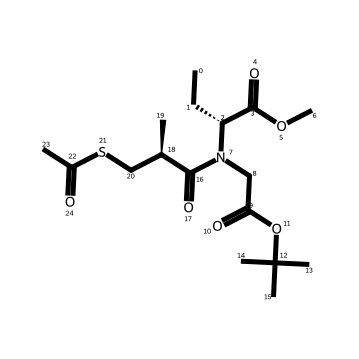 CC[C@H](C(=O)OC)N(CC(=O)OC(C)(C)C)C(=O)[C@H](C)CSC(C)=O